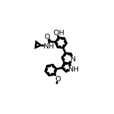 COc1ccccc1-c1c[nH]c2ncc(-c3ccc(O)c(C(=O)NC4CC4)c3)cc12